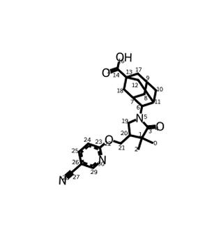 CC1(C)C(=O)N(C2C3CC4CC2CC(C(=O)O)(C4)C3)CC1COc1ccc(C#N)cn1